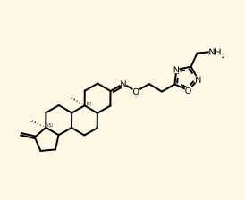 C=C1CCC2C3CCC4CC(=NOCCc5nc(CN)no5)CC[C@]4(C)C3CC[C@]12C